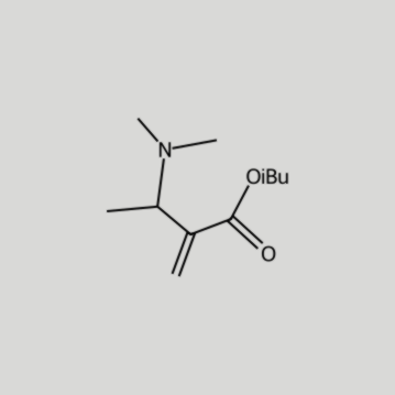 C=C(C(=O)OCC(C)C)C(C)N(C)C